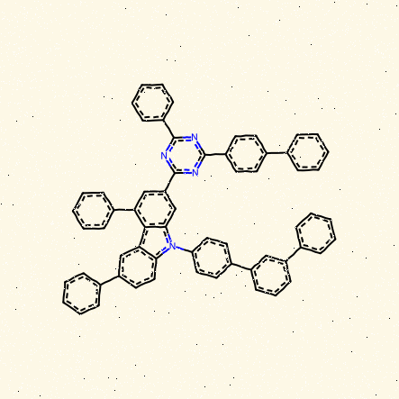 c1ccc(-c2ccc(-c3nc(-c4ccccc4)nc(-c4cc(-c5ccccc5)c5c6cc(-c7ccccc7)ccc6n(-c6ccc(-c7cccc(-c8ccccc8)c7)cc6)c5c4)n3)cc2)cc1